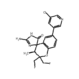 CC1C(CF)(CF)Oc2ccc(-c3cncc(Cl)c3)cc2C12N=C(N)NC2=O